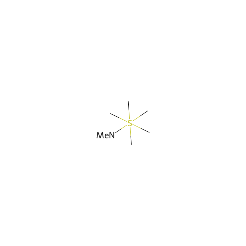 CNS(C)(C)(C)(C)C